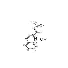 CC(=CC(=O)O)c1ccc2ccccc2n1.Cl